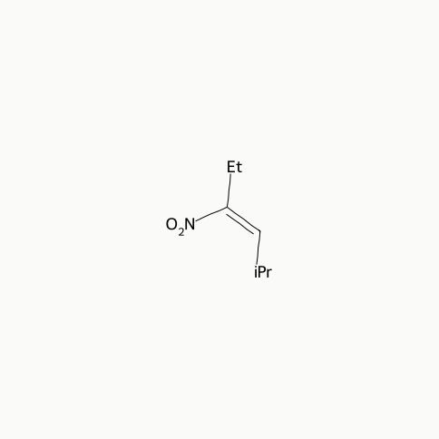 CCC(=CC(C)C)[N+](=O)[O-]